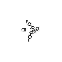 CC1=[C]([Zr+2]([C]2=C(C)C(c3ccc(F)cc3)=CC2)=[Si](C)c2ccccc2)CC=C1c1ccc(F)cc1.[Cl-].[Cl-]